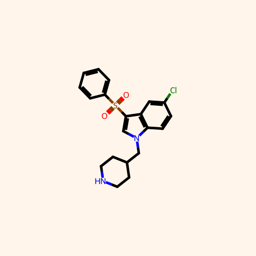 O=S(=O)(c1ccccc1)c1cn(CC2CCNCC2)c2ccc(Cl)cc12